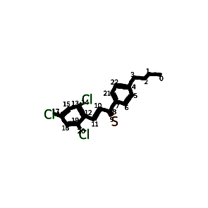 CCCCc1ccc(C(=S)C=Cc2c(Cl)cc(Cl)cc2Cl)cc1